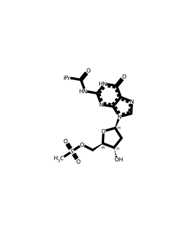 CC(C)C(=O)Nc1nc2c(ncn2[C@H]2C[C@H](O)[C@@H](COS(C)(=O)=O)O2)c(=O)[nH]1